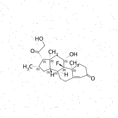 C[C@H]1C[C@H]2[C@@H]3CCC4=CC(=O)CC[C@]4(C)[C@@]3(F)[C@@H](O)C[C@]2(C)[C@H]1C(=O)CO